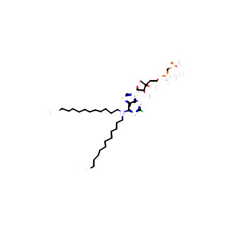 CCCCCCCCCCCCN(CCCCCCCCCCCC)c1nc(Cl)nc2c1ncn2[C@@H]1OCC(O)(CCOP(=O)(O)CP(=O)(O)O)C1O